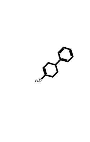 BC1=CCC(c2ccccc2)CC1